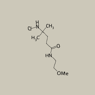 COCCNC(=O)CCC(C)(C)NCl